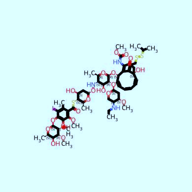 CCN[C@H]1CO[C@@H](O[C@H]2[C@H](O[C@H]3C#CC=CC#C[C@]4(O)CC(=O)C(NC(=O)OC)=C3C4=CCSSC(C)C)O[C@H](C)[C@@H](NO[C@H]3C[C@H](O)[C@H](SC(=O)c4c(C)c(I)c(O[C@@H]5O[C@@H](C)[C@H](O)[C@@H](OC)[C@H]5O)c(OC)c4OC)[C@@H](C)O3)[C@@H]2O)C[C@@H]1OC